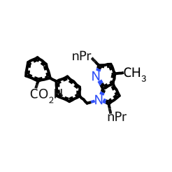 CCCc1cc(C)c2cc(CCC)n(Cc3ccc(-c4ccccc4C(=O)O)cc3)c2n1